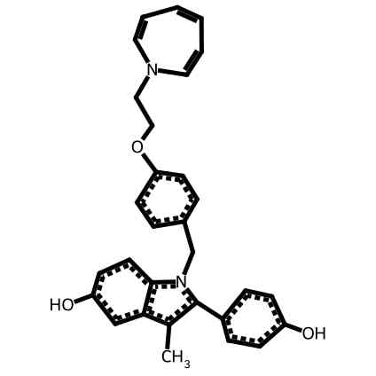 Cc1c(-c2ccc(O)cc2)n(Cc2ccc(OCCN3C=CC=CC=C3)cc2)c2ccc(O)cc12